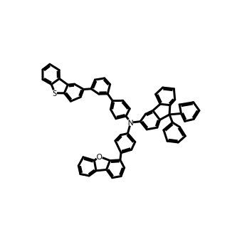 c1ccc(C2(c3ccccc3)c3ccccc3-c3cc(N(c4ccc(-c5cccc(-c6ccc7sc8ccccc8c7c6)c5)cc4)c4ccc(-c5cccc6c5oc5ccccc56)cc4)ccc32)cc1